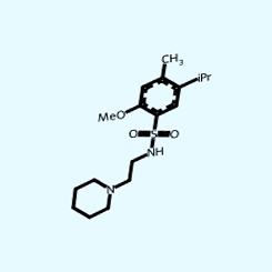 COc1cc(C)c(C(C)C)cc1S(=O)(=O)NCCN1CCCCC1